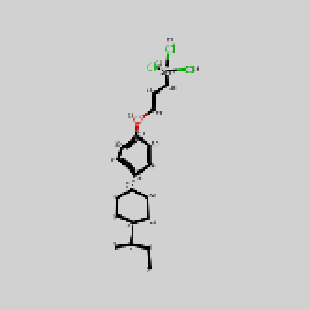 CCC(C)[C@H]1CC[C@H](c2ccc(OCCC[Si](Cl)(Cl)Cl)cc2)CC1